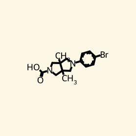 CC12CN(C(=O)O)CC1(C)CN(c1ccc(Br)cc1)C2